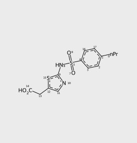 CCCc1ccc(S(=O)(=O)Nc2ncc(CC(=O)O)s2)cc1